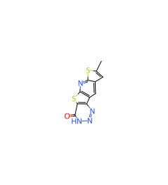 Cc1cc2cc3c(nc2s1)sc1c(=O)[nH]nnc13